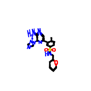 Cc1ccc(S(=O)(=O)NCC2CCCCO2)cc1-c1cnc(N)c(-n2cncn2)n1